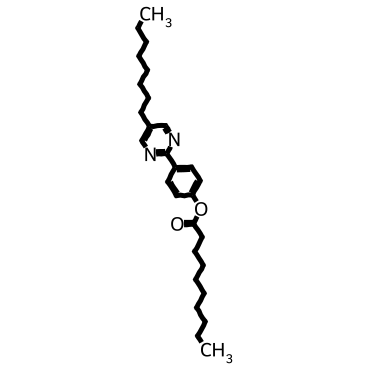 CCCCCCCCCC(=O)Oc1ccc(-c2ncc(CCCCCCCC)cn2)cc1